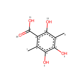 Cc1c(O)c(O)c(C)c(C(=O)O)c1O